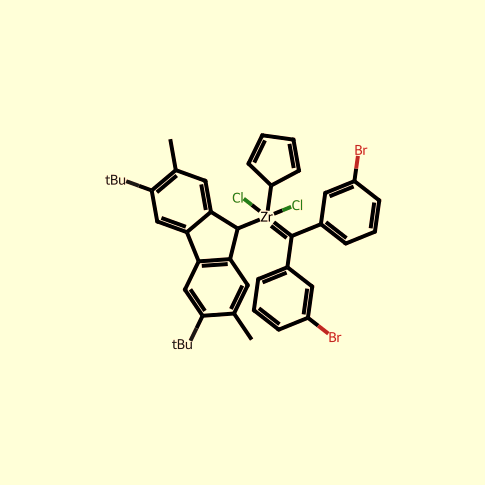 Cc1cc2c(cc1C(C)(C)C)-c1cc(C(C)(C)C)c(C)cc1[CH]2[Zr]([Cl])([Cl])(=[C](c1cccc(Br)c1)c1cccc(Br)c1)[CH]1C=CC=C1